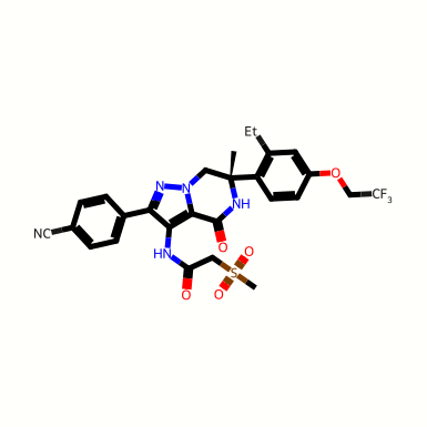 CCc1cc(OCC(F)(F)F)ccc1[C@@]1(C)Cn2nc(-c3ccc(C#N)cc3)c(NC(=O)CS(C)(=O)=O)c2C(=O)N1